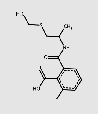 CCSCC(C)NC(=O)c1cccc(I)c1C(=O)O